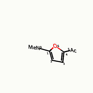 CNc1ccc(C(C)=O)o1